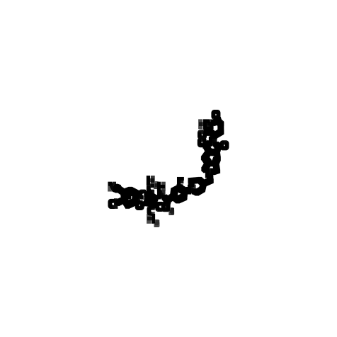 CC1(C)[C@H](NC(=O)c2ccc(N3CCC(CN4Cc5cc6c(cc5C4)C(=O)N(C4CCC(=O)NC4=O)C6=O)CC3)c(F)c2)C(C)(C)[C@H]1Oc1ccc(C#N)c(Cl)c1